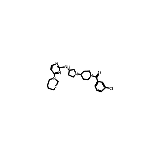 O=C(c1cccc(Cl)c1)N1CCC(N2CCC(Nc3nccc(N4CCCCCC4)n3)C2)CC1